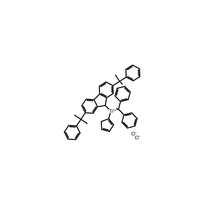 CC(C)(c1ccccc1)c1ccc2c(c1)[CH]([Ti+2]([C]1=CC=CC1)=[C](c1ccccc1)c1ccccc1)c1cc(C(C)(C)c3ccccc3)ccc1-2.[Cl-].[Cl-]